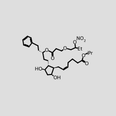 CCC(COCCC(=O)O[C@@H](CCc1ccccc1)CC[C@@H]1[C@@H](C/C=C\CCCC(=O)OC(C)C)[C@@H](O)C[C@H]1O)O[N+](=O)[O-]